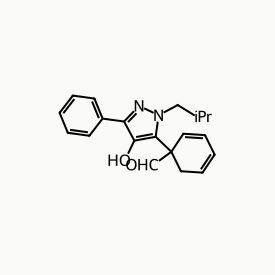 CC(C)Cn1nc(-c2ccccc2)c(O)c1C1(C=O)C=CC=CC1